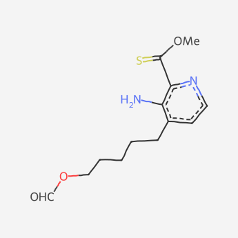 COC(=S)c1nccc(CCCCCOC=O)c1N